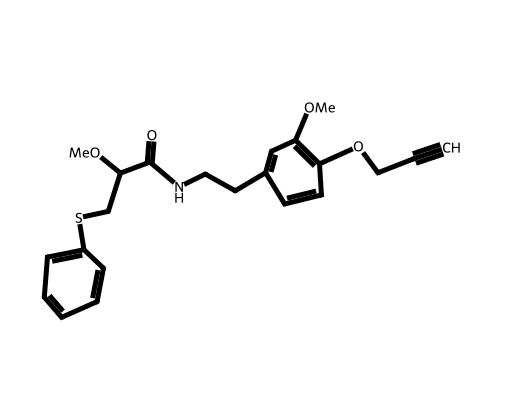 C#CCOc1ccc(CCNC(=O)C(CSc2ccccc2)OC)cc1OC